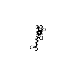 O=C(Cl)CCCCC(=O)Cl.O=C1OC(=O)c2ccccc21